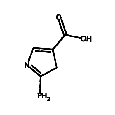 O=C(O)C1=CN=C(P)C1